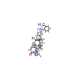 Cc1ccccc1Nc1nc([C@H]2CC[C@H]3[C@@H]4CC[C@H]5N(C)C(=O)C=C[C@]5(C)[C@H]4CC[C@]23C)cs1